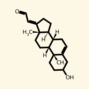 C[C@]12CCC(O)CC1=CC[C@@H]1[C@H]2CC[C@]2(C)C(=CC=O)CC[C@@H]12